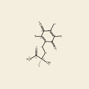 CC1=C(C)C(=O)C(CC[C@@](C)(O)C(N)=O)=C(C)C1=O